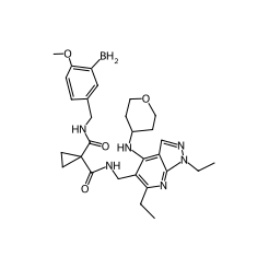 Bc1cc(CNC(=O)C2(C(=O)NCc3c(CC)nc4c(cnn4CC)c3NC3CCOCC3)CC2)ccc1OC